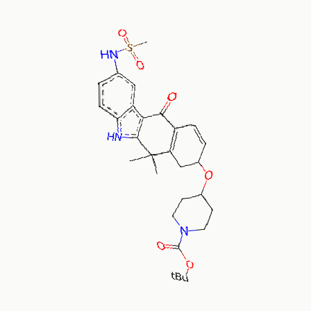 CC(C)(C)OC(=O)N1CCC(OC2C=CC3=C(C2)C(C)(C)c2[nH]c4ccc(NS(C)(=O)=O)cc4c2C3=O)CC1